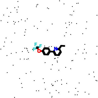 CCc1cccc(-c2ccc(OC(F)(F)F)cc2)n1